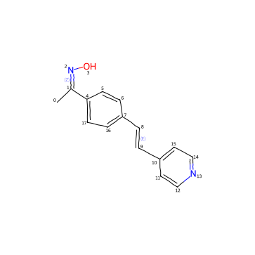 C/C(=N/O)c1ccc(/C=C/c2ccncc2)cc1